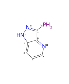 Pc1n[nH]c2cccnc12